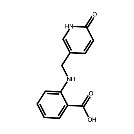 O=C(O)c1ccccc1NCc1ccc(=O)[nH]c1